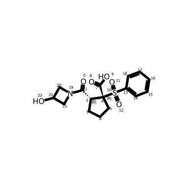 O=C([C@H]1CCC[C@@]1(C(=O)O)S(=O)(=O)c1ccccc1)N1CC(O)C1